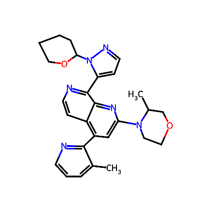 Cc1cccnc1-c1cc(N2CCOCC2C)nc2c(-c3ccnn3C3CCCCO3)nccc12